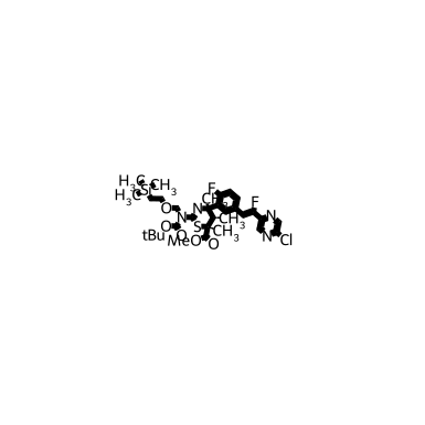 COC(=O)[C@@]1(C)SC(N(COCC[Si](C)(C)C)C(=O)OC(C)(C)C)=N[C@](C)(c2cc(/C=C(\F)c3cnc(Cl)cn3)ccc2F)[C@@H]1C